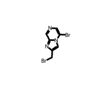 BrCc1cn2c(Br)cncc2n1